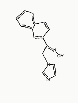 O/N=C(\Cn1ccnc1)c1ccc2ccccc2c1